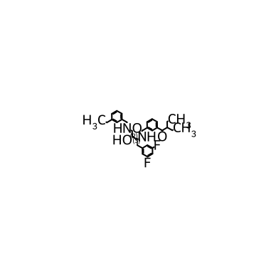 CCc1cccc(CNC[C@@H](O)[C@H](Cc2cc(F)cc(F)c2)NC(=O)c2cccc(C(=O)C(CC)CC)c2)c1